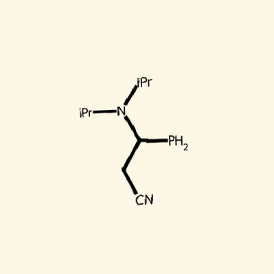 CC(C)N(C(C)C)C(P)CC#N